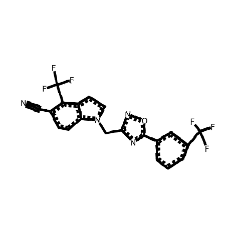 N#Cc1ccc2c(ccn2Cc2noc(-c3cccc(C(F)(F)F)c3)n2)c1C(F)(F)F